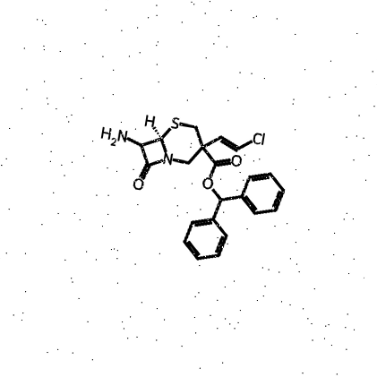 NC1C(=O)N2CC(C=CCl)(C(=O)OC(c3ccccc3)c3ccccc3)CS[C@H]12